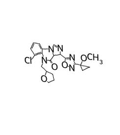 COC1(c2noc(C3N=CN4c5cccc(Cl)c5N(CC5CCCO5)C(=O)C34)n2)CC1